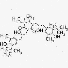 CCC1(CC)C(=O)N(CC(O)Cc2cc(C)c(O)c(C(C)(C)C)c2)C(=O)N(CC(O)Cc2cc(C)c(O)c(C(C)(C)C)c2)C1=O